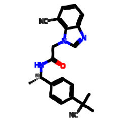 C[C@H](NC(=O)Cn1cnc2cccc(C#N)c21)c1ccc(C(C)(C)C#N)cc1